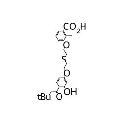 Cc1c(OCCSCCOc2ccc(C(=O)CC(C)(C)C)c(O)c2C)cccc1C(=O)O